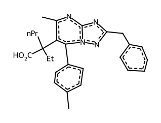 CCCC(CC)(C(=O)O)c1c(C)nc2nc(Cc3ccccc3)nn2c1-c1ccc(C)cc1